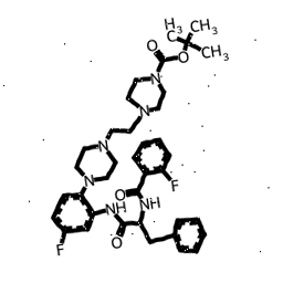 CC(C)(C)OC(=O)N1CCN(CCN2CCN(c3ccc(F)cc3NC(=O)C(Cc3ccccc3)NC(=O)c3ccccc3F)CC2)CC1